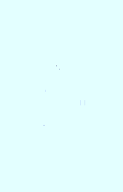 [C-]#[N+]/C(C)=C/Br